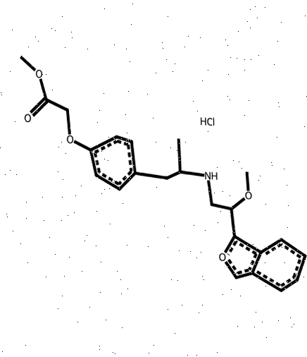 COC(=O)COc1ccc(CC(C)NCC(OC)c2occ3ccccc23)cc1.Cl